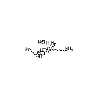 CC(C)CCC[C@@H](C)[C@H]1CC[C@H]2[C@@H]3CC=C4C[C@@H](OC(=O)N(CCCCCCCC(C)N)CCC(C)N)CC[C@]4(C)[C@H]3CC[C@]12C.Cl.Cl